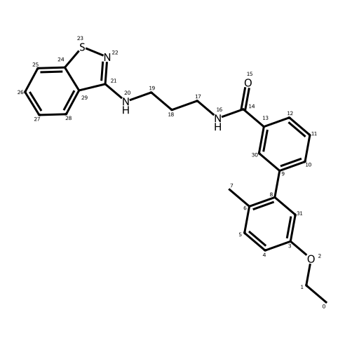 CCOc1ccc(C)c(-c2cccc(C(=O)NCCCNc3nsc4ccccc34)c2)c1